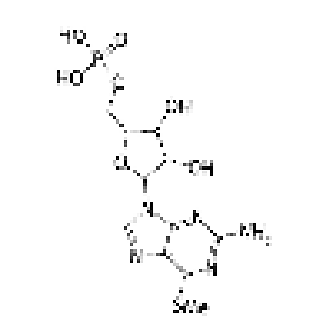 CSc1nc(N)nc2c1ncn2C1OC(COP(=O)(O)O)C(O)C1O